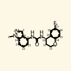 Cn1ncc2c(NC(=O)N[C@@H]3CCOc4ccc(F)cc43)cccc21